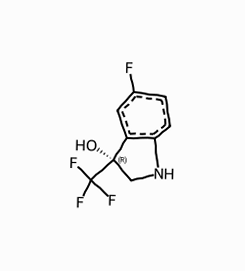 O[C@@]1(C(F)(F)F)CNc2ccc(F)cc21